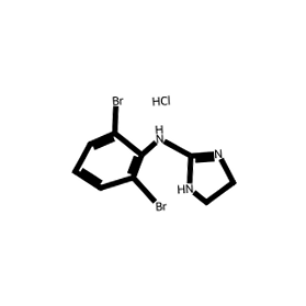 Brc1cccc(Br)c1NC1=NCCN1.Cl